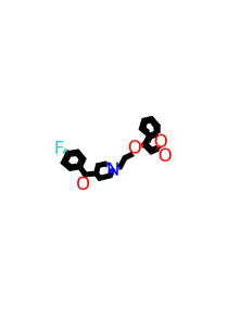 O=C(c1ccc(F)cc1)C1CCN(CCCOc2cc(=O)oc3ccccc23)CC1